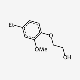 CCc1ccc(OCCO)c(OC)c1